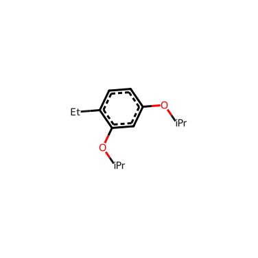 [CH2]Cc1ccc(OC(C)C)cc1OC(C)C